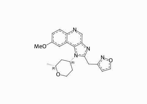 COc1ccc2ncc3nc(Cc4ccon4)n([C@@H]4CCO[C@H](C)C4)c3c2c1